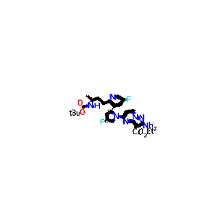 CCOC(=O)c1c(N)nn2ccc(N3C[C@@H](F)C[C@@H]3c3cc(F)cnc3CCC(C)NC(=O)OC(C)(C)C)nc12